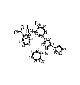 O=C(O)c1c(Nc2nc(-c3cc(-c4ccon4)n(Cc4ccccc4F)n3)ncc2F)c2ccc1o2